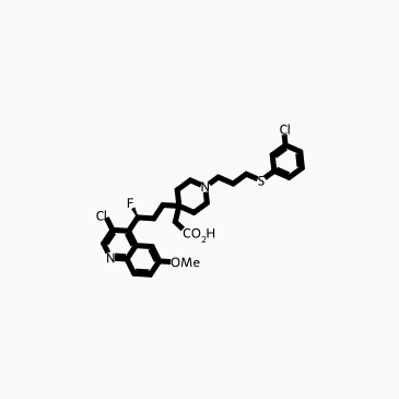 COc1ccc2ncc(Cl)c([C@@H](F)CCC3(CC(=O)O)CCN(CCCSc4cccc(Cl)c4)CC3)c2c1